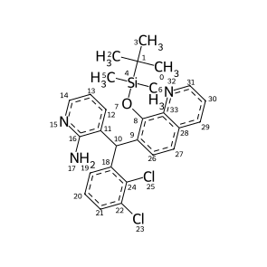 CC(C)(C)[Si](C)(C)Oc1c(C(c2cccnc2N)c2cccc(Cl)c2Cl)ccc2cccnc12